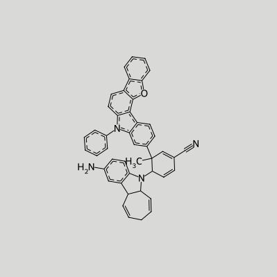 CC1(c2ccc3c4c5oc6ccccc6c5ccc4n(-c4ccccc4)c3c2)C=C(C#N)C=CC1N1c2ccc(N)cc2C2C=CCC=CC21